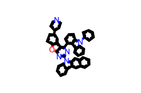 c1ccc(-n2c3ccccc3c3c(-c4nc(-n5c6ccccc6c6cc7ccccc7cc65)nc5oc6ccc(-c7ccncc7)cc6c45)cccc32)cc1